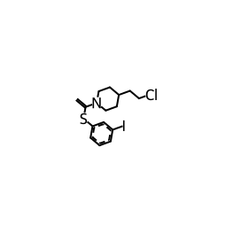 C=C(Sc1cccc(I)c1)N1CCC(CCCl)CC1